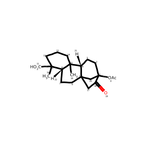 CC(=O)OC12CC[C@@H]3C(CC[C@@H]4C(C)(C(=O)O)CCCC34C)(CC1=O)C2